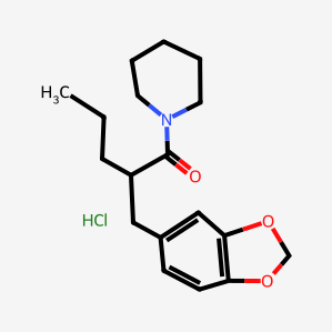 CCCC(Cc1ccc2c(c1)OCO2)C(=O)N1CCCCC1.Cl